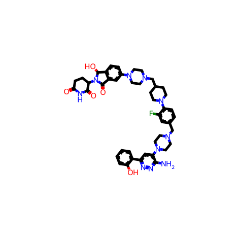 Nc1nnc(-c2ccccc2O)cc1N1CCN(Cc2ccc(N3CCC(CN4CCN(c5ccc6c(c5)C(=O)N(C5CCC(=O)NC5=O)C6O)CC4)CC3)c(F)c2)CC1